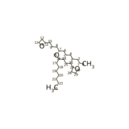 CCCCCCCC(CCCC1CCO1)OC(CCCCCCC)CCCC1CCO1